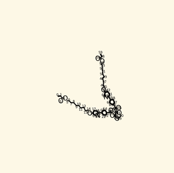 C=CC(=O)OCCCCCCCCCCOc1ccc(-c2ccc(C(=O)O[C@H]3OCCO[C@@H]3OC(=O)c3ccc(-c4ccc(OCCCCCCCCCCOC(=O)C=C)cn4)cc3)cc2)nc1